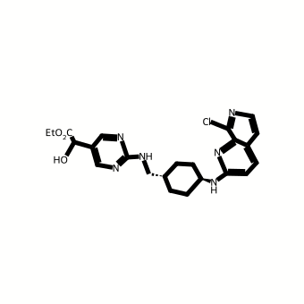 CCOC(=O)C(O)c1cnc(NC[C@H]2CC[C@H](Nc3ccc4ccnc(Cl)c4n3)CC2)nc1